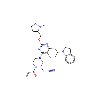 C=CC(=O)N1CCN(c2nc(OCC3CCCN3C)nc3c2CCC(N2CCc4ccccc42)C3)CC1CC#N